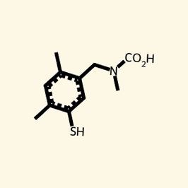 Cc1cc(C)c(CN(C)C(=O)O)cc1S